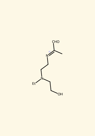 CCN(CCO)CC/N=C(\C)C=O